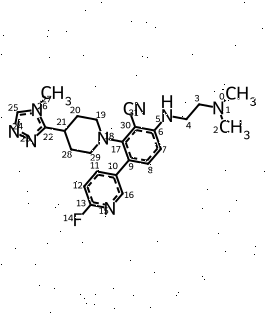 CN(C)CCNc1ccc(-c2ccc(F)nc2)c(N2CCC(c3nncn3C)CC2)c1C#N